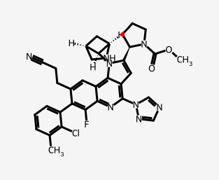 COC(=O)N1CCC[C@@H]1c1cc2c(-n3cncn3)nc3c(F)c(-c4cccc(C)c4Cl)c(CCC#N)cc3c2n1[C@H]1[C@H]2CN[C@@H]1C2